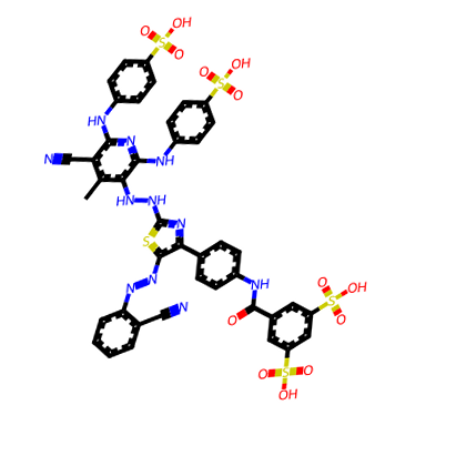 Cc1c(C#N)c(Nc2ccc(S(=O)(=O)O)cc2)nc(Nc2ccc(S(=O)(=O)O)cc2)c1NNc1nc(-c2ccc(NC(=O)c3cc(S(=O)(=O)O)cc(S(=O)(=O)O)c3)cc2)c(N=Nc2ccccc2C#N)s1